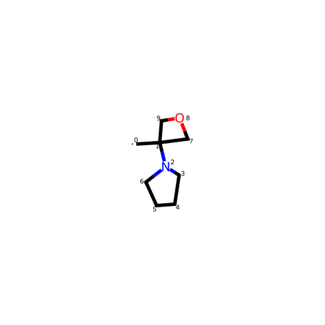 [CH2]C1(N2CCCC2)COC1